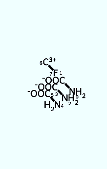 NC(=O)[O-].NC(=O)[O-].NC(=O)[O-].[C+3]F